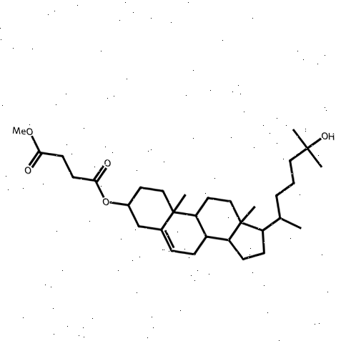 COC(=O)CCC(=O)OC1CCC2(C)C(=CCC3C2CCC2(C)C(C(C)CCCC(C)(C)O)CCC32)C1